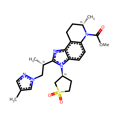 COC(=O)N1c2ccc3c(nc([C@@H](C)Cn4cc(C)cn4)n3[C@H]3CCS(=O)(=O)C3)c2CC[C@@H]1C